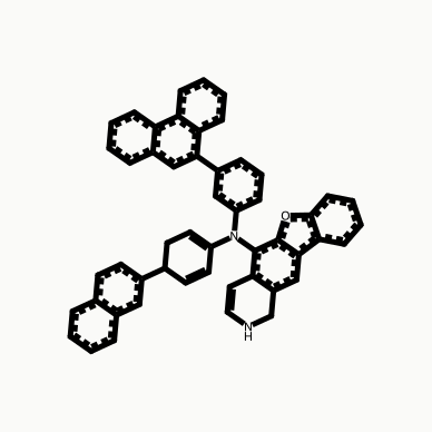 C1=Cc2c(cc3c(oc4ccccc43)c2N(C2=CCC(c3ccc4ccccc4c3)C=C2)c2cccc(-c3cc4ccccc4c4ccccc34)c2)CN1